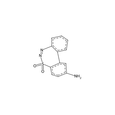 Nc1ccc2c(c1)-c1ccccc1N=NS2(=O)=O